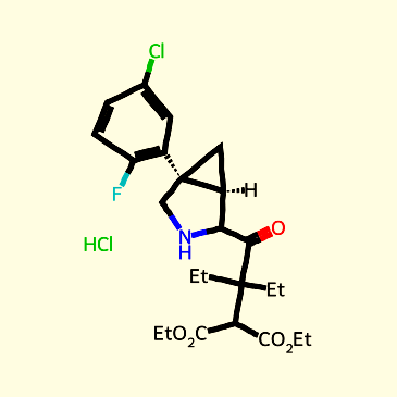 CCOC(=O)C(C(=O)OCC)C(CC)(CC)C(=O)C1NC[C@@]2(c3cc(Cl)ccc3F)C[C@@H]12.Cl